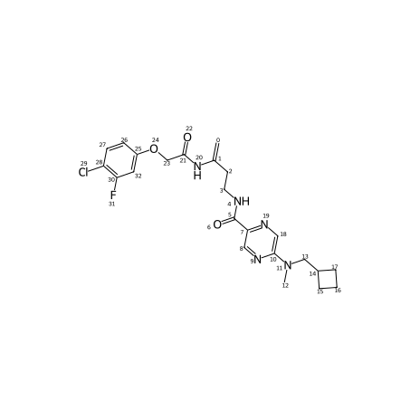 C=C(CCNC(=O)c1cnc(N(C)CC2CCC2)cn1)NC(=O)COc1ccc(Cl)c(F)c1